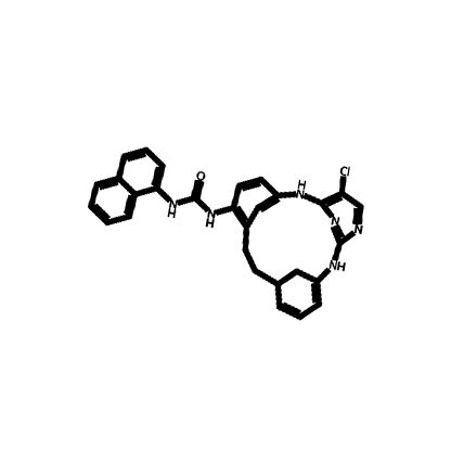 O=C(Nc1ccc2cc1CCC1C=CC=C(C1)Nc1ncc(Cl)c(n1)N2)Nc1cccc2ccccc12